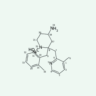 Cc1cccnc1CC1(Cc2ncccc2C)CC(N)CCN1C(=O)O